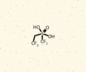 O=S(O)(O)(CC(F)(F)F)C(F)(F)F